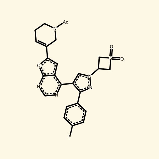 CC(=O)N1CCC=C(c2cc3c(-c4cn(C5CS(=O)(=O)C5)nc4-c4ccc(F)cc4)ncnc3o2)C1